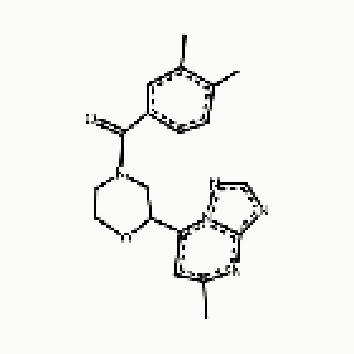 Cc1cc(C2CN(C(=O)c3ccc(I)c(C)c3)CCO2)n2ncnc2n1